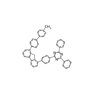 Cc1ccc(-c2ccc(-c3cccc4c3Cc3c(-c5ccc(-c6nc(-c7ccccc7)nc(-c7ccccc7)n6)cc5)cccc3-4)cc2)cc1